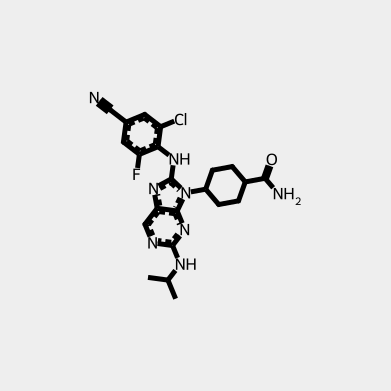 CC(C)Nc1ncc2nc(Nc3c(F)cc(C#N)cc3Cl)n(C3CCC(C(N)=O)CC3)c2n1